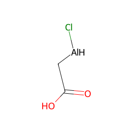 O=C(O)[CH2][AlH][Cl]